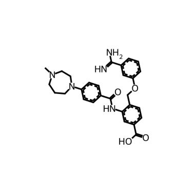 CN1CCCN(c2ccc(C(=O)Nc3cc(C(=O)O)ccc3COc3cccc(C(=N)N)c3)cc2)CC1